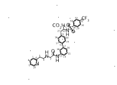 O=C(CNCCc1ccccn1)Nc1cccc(-c2ccc(C[C@H](NS(=O)(=O)c3ccc(C(F)(F)F)cc3)C(=O)O)cc2)c1